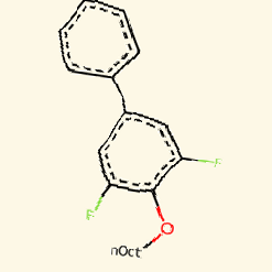 CCCCCCCCOc1c(F)cc(-c2ccccc2)cc1F